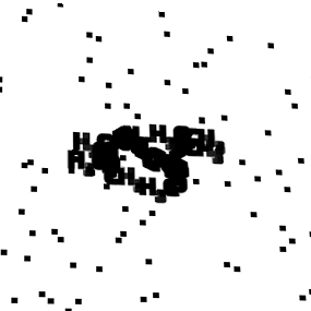 CCOP(C)(=O)C[C@@H](C)c1ccnc(OCC2CCN(c3cc(OC)ccc3CCCC(C)(C)C)CC2)c1